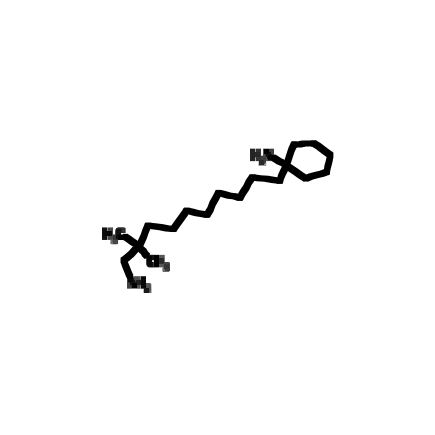 CC(C)(CN)CCCCCCCCC1(N)CCCCC1